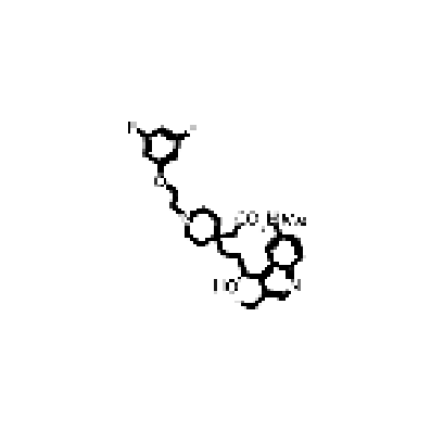 COc1ccc2ncc(CF)c([C@@H](O)CCC3(CC(=O)O)CCN(CCOc4cc(F)cc(F)c4)CC3)c2c1